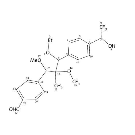 CCOC(c1ccc(C(O)C(F)(F)F)cc1)C(C)(OC(F)(F)F)C(OC)c1ccc(C=O)cc1